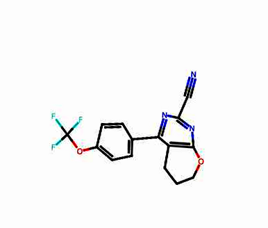 N#Cc1nc2c(c(-c3ccc(OC(F)(F)F)cc3)n1)CCCO2